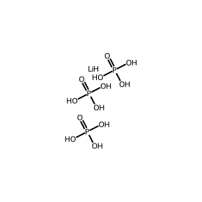 O=P(O)(O)O.O=P(O)(O)O.O=P(O)(O)O.[LiH]